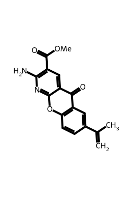 C=C(C)c1ccc2oc3nc(N)c(C(=O)OC)cc3c(=O)c2c1